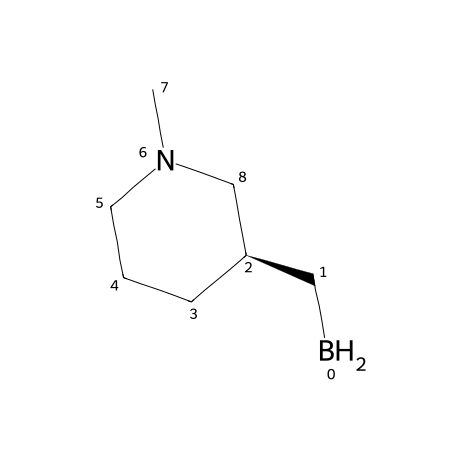 BC[C@H]1CCCN(C)C1